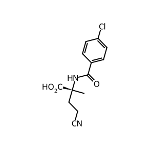 C[C@](CCC#N)(NC(=O)c1ccc(Cl)cc1)C(=O)O